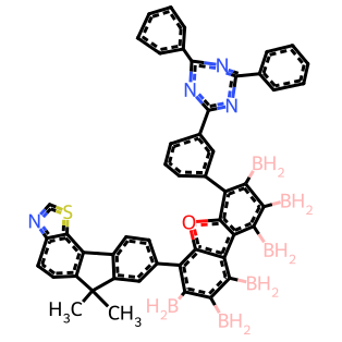 Bc1c(B)c(B)c2c(oc3c(-c4ccc5c(c4)C(C)(C)c4ccc6ncsc6c4-5)c(B)c(B)c(B)c32)c1-c1cccc(-c2nc(-c3ccccc3)nc(-c3ccccc3)n2)c1